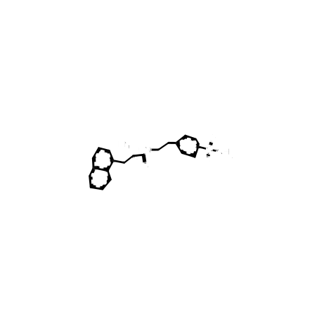 N[C@@H](Cc1cccc2ccccc12)C(=O)NCCc1ccc(S(N)(=O)=O)cc1